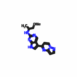 COCC(C)Nc1ncc2c(-c3ccn4nccc4n3)c[nH]c2n1